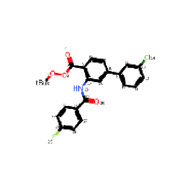 CC(C)(C)OOC(=O)c1ccc(-c2cccc(Cl)c2)cc1NC(=O)c1ccc(F)cc1